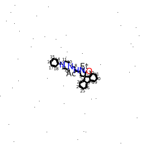 CCNC(=O)C1(CCCCN2CCN(c3ccccc3)CC2C(C)=O)c2ccccc2-c2ccccc21